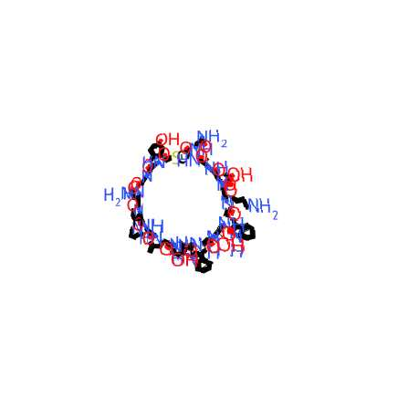 CC(C)CC1NC(=O)[C@H](CC2=CCC=N2)NC(=O)[C@@H]2CCCN2C(=O)C(CC(N)=O)NC(=O)[C@H](C)N(C)C(=O)[C@H](Cc2ccc(O)cc2)NC(=O)CSC[C@@H](C(=O)NCC(N)=O)NC(=O)[C@H](C)NC(=O)[C@H](CC(=O)O)N(C)C(=O)[C@H](CCCCN)N(C)C(=O)[C@H](Cc2c[nH]c3ccccc23)NC(=O)[C@H](CO)NC(=O)[C@H](Cc2c[nH]c3ccccc23)NC(=O)[C@@H]2C[C@@H](O)CN2C1=O